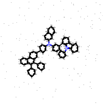 c1ccc(-c2c(-c3ccccc3)c3cc(-c4ccc(N(c5cccc(-c6cccc7c8ccccc8n(-c8ccccc8)c67)c5)c5ccc6ccccc6c5)cc4)ccc3c3ccccc23)cc1